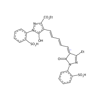 CCOC(=O)c1nn(-c2ccccc2S(=O)(=O)O)c(O)c1C=CC=C/C=C1\C(=O)N(c2ccccc2S(=O)(=O)O)N=C1CC